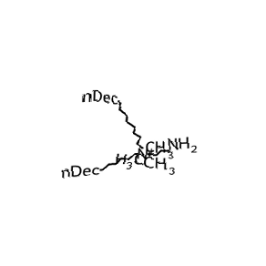 CCCCCCCCCCCCCCCCCCC[N+](C)(CCCCCCCCCCCCCCCC)C(C)(C)CCCN